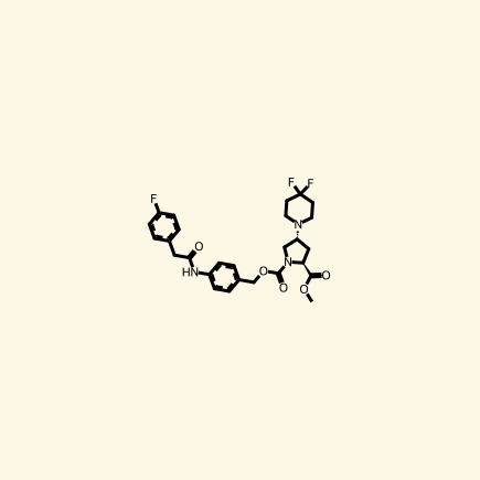 COC(=O)[C@@H]1C[C@@H](N2CCC(F)(F)CC2)CN1C(=O)OCc1ccc(NC(=O)Cc2ccc(F)cc2)cc1